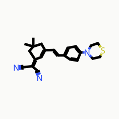 CC1(C)CC(C=Cc2ccc(N3CCSCC3)cc2)=CC(=C(C#N)C#N)C1